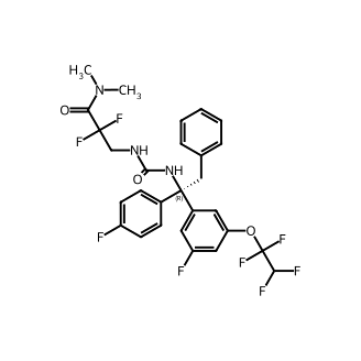 CN(C)C(=O)C(F)(F)CNC(=O)N[C@](Cc1ccccc1)(c1ccc(F)cc1)c1cc(F)cc(OC(F)(F)C(F)F)c1